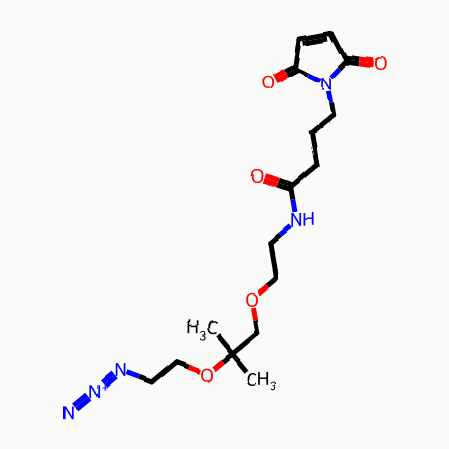 CC(C)(COCCNC(=O)CCCN1C(=O)C=CC1=O)OCCN=[N+]=[N-]